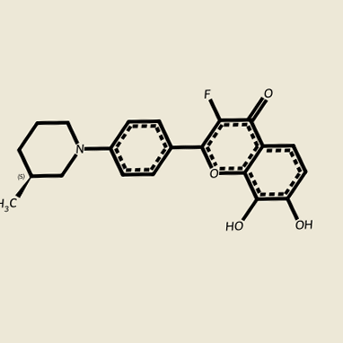 C[C@H]1CCCN(c2ccc(-c3oc4c(O)c(O)ccc4c(=O)c3F)cc2)C1